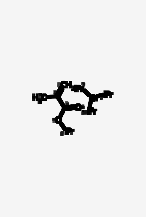 C=C(C)C(=O)OC(C)C.CC(C)N(C(C)C)C(C)C